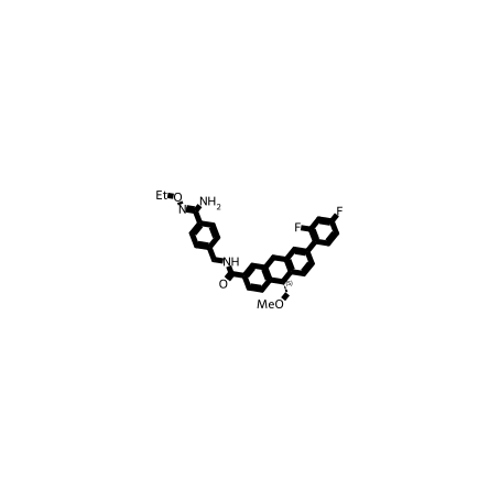 CCON=C(N)c1ccc(CNC(=O)c2ccc3c(c2)Cc2cc(-c4ccc(F)cc4F)ccc2[C@@H]3COC)cc1